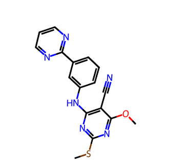 COc1nc(SC)nc(Nc2cccc(-c3ncccn3)c2)c1C#N